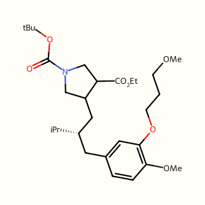 CCOC(=O)C1CN(C(=O)OC(C)(C)C)CC1C[C@H](Cc1ccc(OC)c(OCCCOC)c1)C(C)C